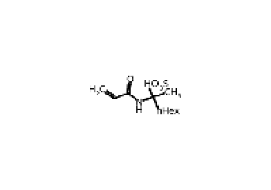 C=CC(=O)NC(C)(CCCCCC)S(=O)(=O)O